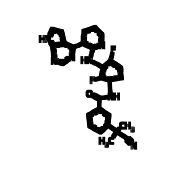 CC(C)(C#N)c1cccc(C(=O)Nc2ccc(F)c(Nc3ncccc3-c3ncnc4[nH]ccc34)c2F)c1